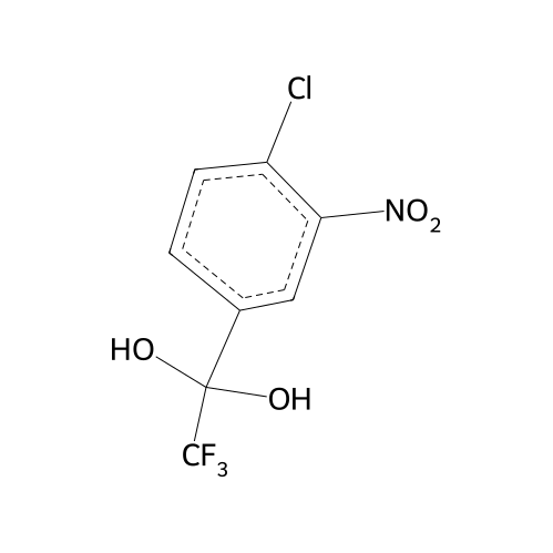 O=[N+]([O-])c1cc(C(O)(O)C(F)(F)F)ccc1Cl